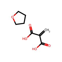 C1CCOC1.C=C(C(=O)O)C(=O)O